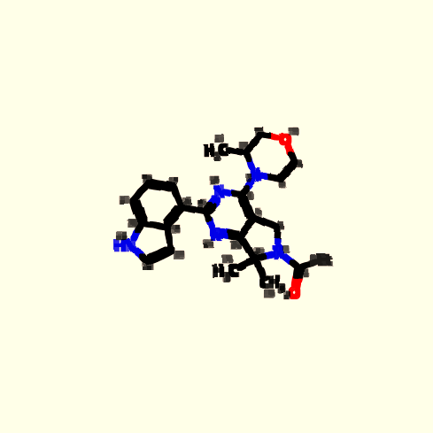 CCC(=O)N1Cc2c(N3CCOCC3C)nc(-c3cccc4[nH]ccc34)nc2C1(C)C